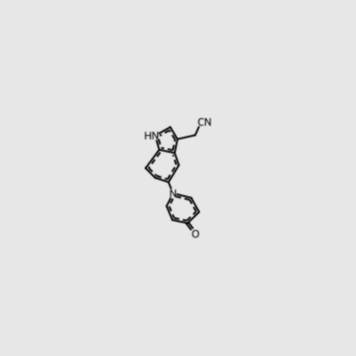 N#CCc1c[nH]c2ccc(-n3ccc(=O)cc3)cc12